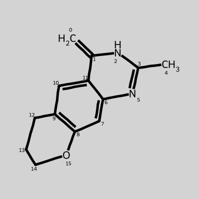 C=C1NC(C)=Nc2cc3c(cc21)CCCO3